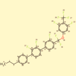 CCCc1ccc(-c2ccc(-c3ccc(C(F)(F)Oc4cc(F)c(C(F)(F)F)c(F)c4)c(F)c3)c(F)c2F)cc1